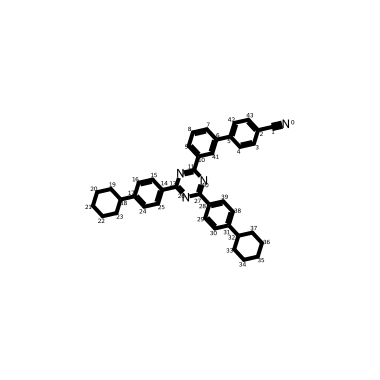 N#Cc1ccc(-c2cccc(-c3nc(-c4ccc(C5CCCCC5)cc4)nc(-c4ccc(C5CCCCC5)cc4)n3)c2)cc1